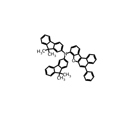 CC1(C)c2ccccc2-c2cc(N(c3ccc4c(c3)C(C)(C)c3ccccc3-4)c3cccc4c3oc3cc(-c5ccccc5)c5ccccc5c34)ccc21